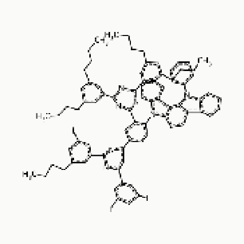 CCCCc1cc(I)cc(-c2nc(-c3cc(I)cc(I)c3)cc(-c3ccc(-n4c5ccccc5c5c4ccc4c6ccccc6n(-c6ccccc6)c45)c(-c4nc(-c5cc(CCCC)cc(CCCC)c5)nc(-c5cc(CCCC)cc(CCCC)c5)n4)c3)n2)c1